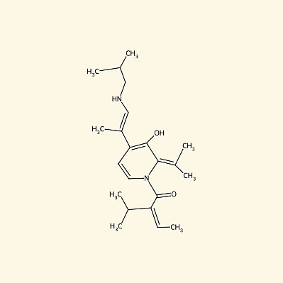 C/C=C(\C(=O)N1C=CC(/C(C)=C/NCC(C)C)=C(O)C1=C(C)C)C(C)C